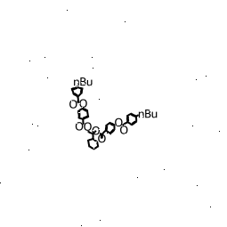 CCCCc1ccc(C(=O)Oc2ccc(C(=O)OCC(OC(=O)c3ccc(OC(=O)c4ccc(CCCC)cc4)cc3)C3CCCCC3)cc2)cc1